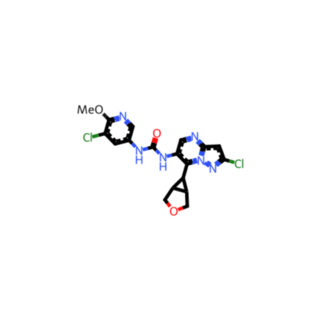 COc1ncc(NC(=O)Nc2cnc3cc(Cl)nn3c2C2C3COCC32)cc1Cl